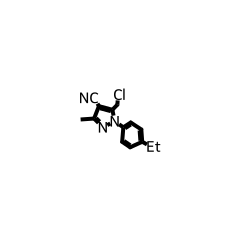 CCc1ccc(-n2nc(C)c(C#N)c2CCl)cc1